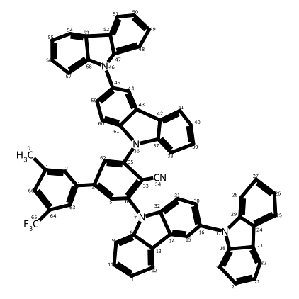 Cc1cc(-c2cc(-n3c4ccccc4c4cc(-n5c6ccccc6c6ccccc65)ccc43)c(C#N)c(-n3c4ccccc4c4cc(-n5c6ccccc6c6ccccc65)ccc43)c2)cc(C(F)(F)F)c1